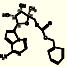 C[C@]1(COC(=O)OCc2ccccc2)O[C@@H](c2ccc3c(N)ncnn23)[C@H](O)[C@@H]1O